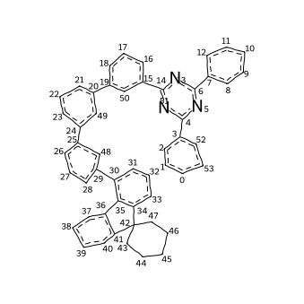 c1ccc(-c2nc(-c3ccccc3)nc(-c3cccc(-c4cccc(-c5cccc(-c6cccc7c6-c6ccccc6C76CCCCC6)c5)c4)c3)n2)cc1